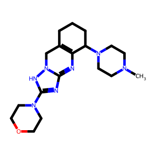 CN1CCN(C2CCCC3=C2N=C2N=C(N4CCOCC4)NN2C3)CC1